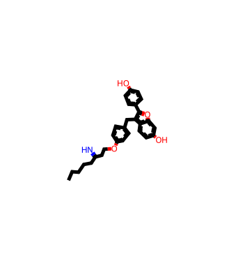 CCCCCC(=N)CCOc1ccc(Cc2c(-c3ccc(O)cc3)oc3cc(O)ccc23)cc1